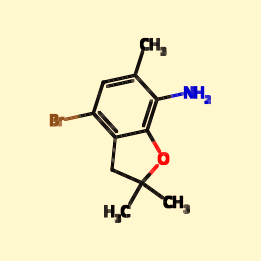 Cc1cc(Br)c2c(c1N)OC(C)(C)C2